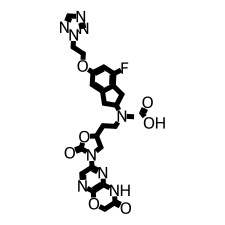 CN(CCC1CN(c2cnc3c(n2)NC(=O)CO3)C(=O)O1)C1Cc2cc(OCCn3ncnn3)cc(F)c2C1.O=CO